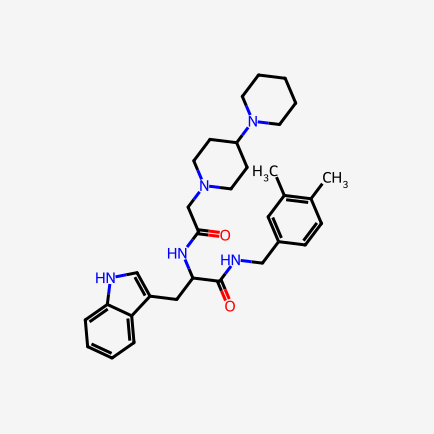 Cc1ccc(CNC(=O)C(Cc2c[nH]c3ccccc23)NC(=O)CN2CCC(N3CCCCC3)CC2)cc1C